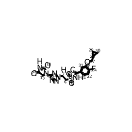 C[C@@H](NS(=O)(=O)CCn1nnc(N2CC(=O)NC2=O)n1)c1ccc(F)c(OCC2CC2)c1